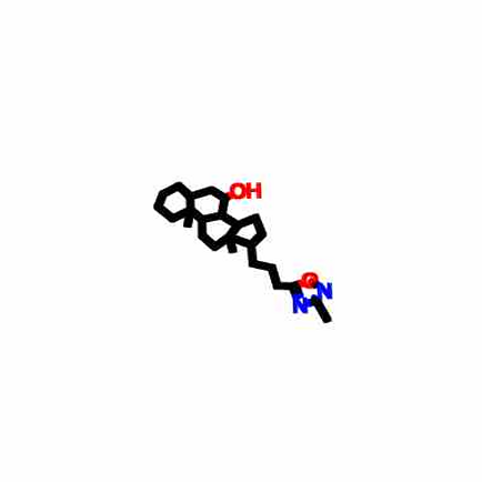 Cc1noc(CCCC2CCC3C4C(O)CC5CCCCC5(C)C4CCC23C)n1